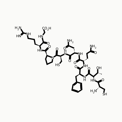 C[C@@H](O)[C@H](NC(=O)[C@@H](N)CS)C(=O)N[C@@H](Cc1ccccc1)C(=O)N[C@@H](CCC(N)=O)C(=O)N[C@@H](CC(N)=O)C(=O)N[C@@H](CS)C(=O)N1CCC[C@H]1C(=O)N[C@@H](CCCNC(=N)N)C(=O)NCC(=O)O